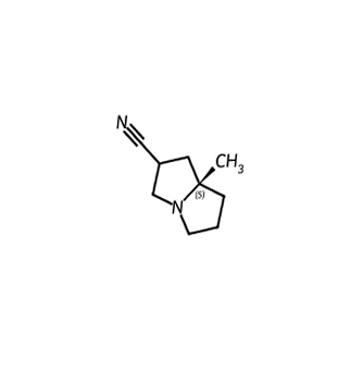 C[C@@]12CCCN1CC(C#N)C2